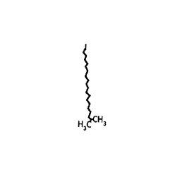 CC(C)CCCCCCCCCCCCCCCCCI